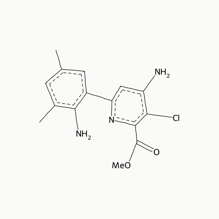 COC(=O)c1nc(-c2cc(C)cc(C)c2N)cc(N)c1Cl